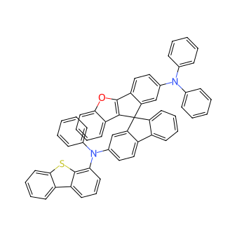 c1ccc(N(c2ccccc2)c2ccc3c(c2)C2(c4ccccc4-c4ccc(N(c5ccccc5)c5cccc6c5sc5ccccc56)cc42)c2c-3oc3ccccc23)cc1